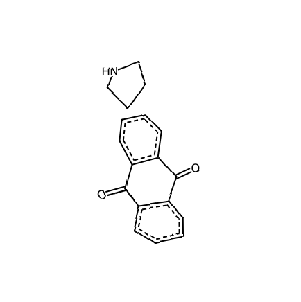 C1CCNC1.O=C1c2ccccc2C(=O)c2ccccc21